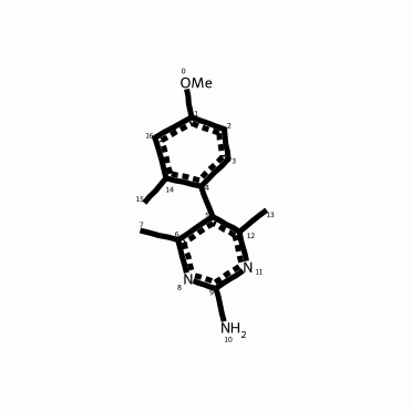 COc1ccc(-c2c(C)nc(N)nc2C)c(C)c1